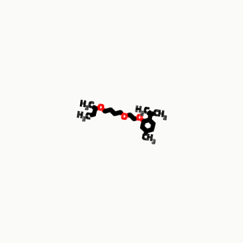 C=C(C)C1CCC(C)CC1OCCOCCCCOC(C)CC